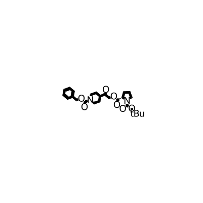 CC(C)(C)OC(=O)N1CCC[C@H]1C(=O)OCC(=O)C1CCN(C(=O)OCc2ccccc2)CC1